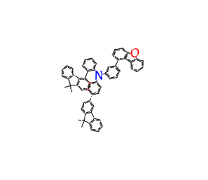 CC1(C)c2ccccc2-c2cc(-c3ccc(N(c4cccc(-c5cccc6oc7ccccc7c56)c4)c4ccccc4-c4cccc5c4-c4ccccc4C5(C)C)cc3)ccc21